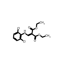 CCOC(=O)C(=CNc1c(Cl)cccc1Cl)C(=O)OCC